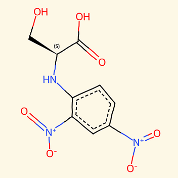 O=C(O)[C@H](CO)Nc1ccc([N+](=O)[O-])cc1[N+](=O)[O-]